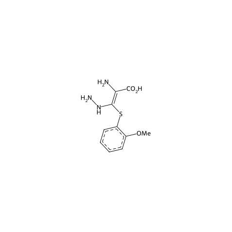 COc1ccccc1S/C(NN)=C(/N)C(=O)O